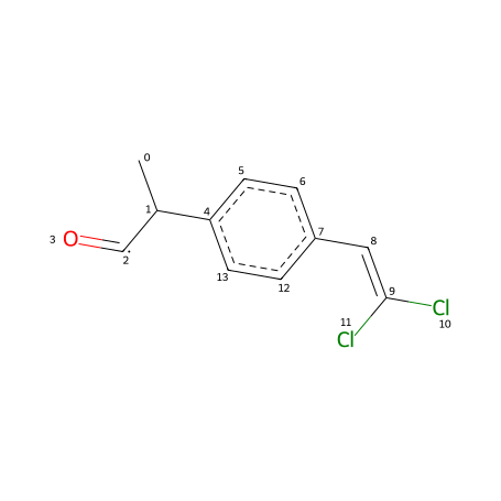 CC([C]=O)c1ccc(C=C(Cl)Cl)cc1